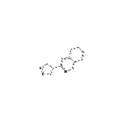 [c]1nscc1-c1ncc2ccccc2n1